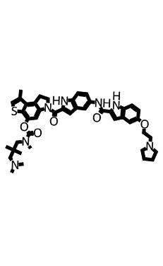 Cc1csc2c(OC(=O)N(C)CC(C)(C)CN(C)C)cc3c(c12)CCN3C(=O)c1cc2cc(NC(=O)c3cc4cc(OCCN5CCCC5)ccc4[nH]3)ccc2[nH]1